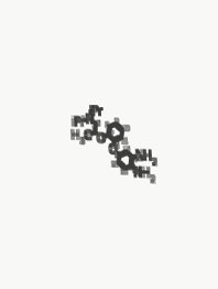 CC(CN(C(C)C)C(C)C)Oc1ccccc1Oc1ccc(N)c(N)c1